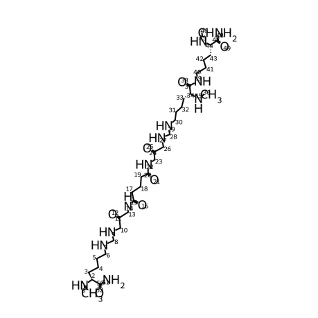 CN[C@@H](CCCCNCNCC(=O)CNC(=O)CCCC(=O)NCC(=O)CNCNCCCC[C@@H](NC)C(=O)NCCCC[C@H](NC)C(N)=O)C(N)=O